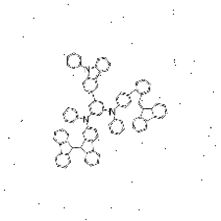 c1ccc(N(c2cc(-c3ccc4c(c3)c3ccccc3n4-c3ccccc3)cc(N(c3ccccc3)c3ccc4c(c3)C(C3c5ccccc5-c5ccccc53)c3ccccc3-4)c2)c2ccc3c(c2)C(=C2c4ccccc4-c4ccccc42)c2ccccc2-3)cc1